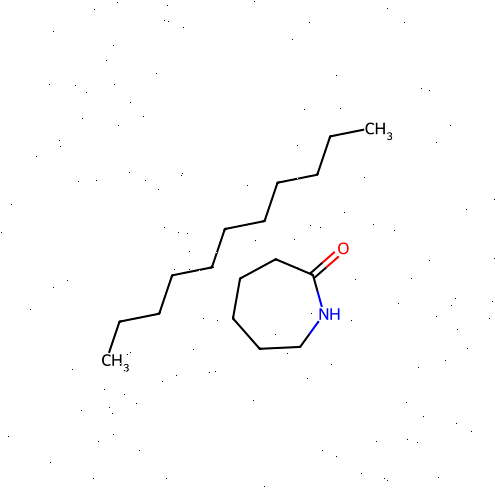 CCCCCCCCCCC.O=C1CCCCCN1